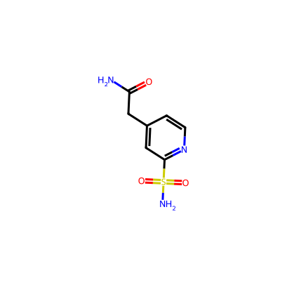 NC(=O)Cc1ccnc(S(N)(=O)=O)c1